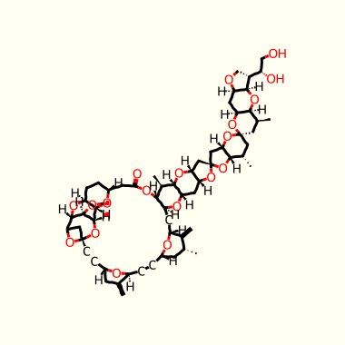 C=C1C[C@@H]2CC[C@]34CC(O3)[C@@H]3O[C@H]5CC[C@H](CC(=O)O[C@@H]6[C@@H](C)[C@@H]7O[C@@H]8C[C@]9(C[C@@H]%10O[C@]%11(C[C@H](C)[C@@H]%12O[C@@H]%13[C@@H]([C@@H](O)CO)CO[C@@H]%13C[C@@H]%12O%11)C[C@H](C)[C@@H]%10O9)O[C@@H]8C[C@@H]7O[C@H]6C[C@H]6O[C@@H](CC[C@@H]1O2)C[C@@H](C)C6=C)O[C@@H]5[C@H](O4)[C@@H]3OC